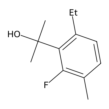 CCc1ccc(C)c(F)c1C(C)(C)O